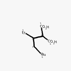 CCC(C)CC(CC)C(C(=O)O)C(=O)O